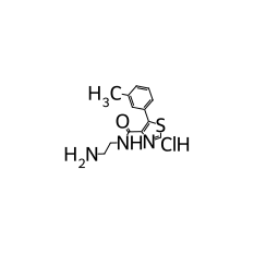 Cc1cccc(-c2scnc2C(=O)NCCN)c1.Cl